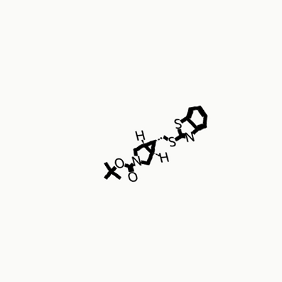 CC(C)(C)OC(=O)N1C[C@@H]2[C@@H](CSc3nc4ccccc4s3)[C@@H]2C1